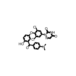 CN(C)c1ccc(C(=O)c2cc(Oc3c(Cl)cc(-n4ncc(=O)[nH]c4=O)cc3Cl)ccc2O)cc1